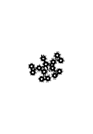 N#Cc1c(-n2c3ccc(-n4c5ccccc5c5ccccc54)cc3c3cc(-n4c5ccccc5c5ccccc54)ccc32)cc(-c2ccncc2)cc1-n1c2ccc(-n3c4ccccc4c4ccccc43)cc2c2cc(-n3c4ccccc4c4ccccc43)ccc21